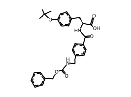 CC(C)(C)Oc1ccc(C[C@H](NC(=O)c2ccc(CNC(=O)OCc3ccccc3)cc2)C(=O)O)cc1